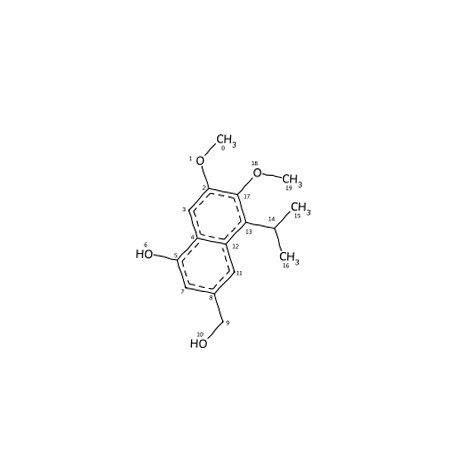 COc1cc2c(O)cc(CO)cc2c(C(C)C)c1OC